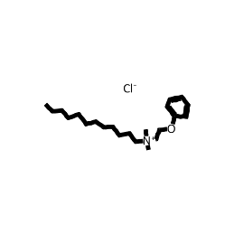 CCCCCCCCCCCC[N+](C)(C)CCOc1ccccc1.[Cl-]